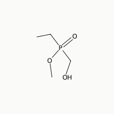 CCP(=O)(CO)OC